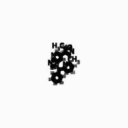 Cc1noc(C)c1-c1cnc2ncn(C(c3ccccc3)c3ccccn3)c2c1